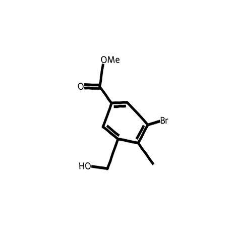 COC(=O)c1cc(Br)c(C)c(CO)c1